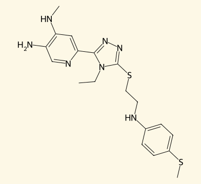 CCn1c(SCCNc2ccc(SC)cc2)nnc1-c1cc(NC)c(N)cn1